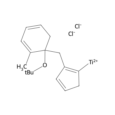 CC1=CC=CCC1(CC1=[C]([Ti+2])CC=C1)OC(C)(C)C.[Cl-].[Cl-]